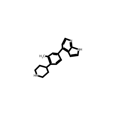 Cc1cc(-c2ccnc3[nH]ccc23)ccc1C1CCNCC1